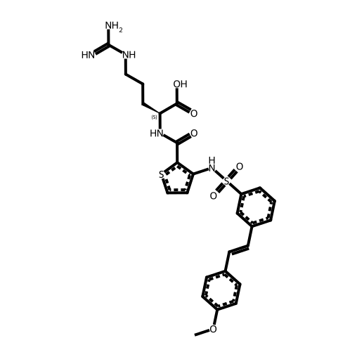 COc1ccc(C=Cc2cccc(S(=O)(=O)Nc3ccsc3C(=O)N[C@@H](CCCNC(=N)N)C(=O)O)c2)cc1